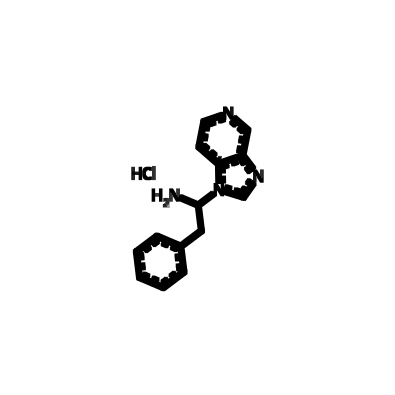 Cl.NC(Cc1ccccc1)n1cnc2cnccc21